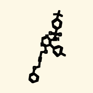 Cc1ccc(-c2c(NS(=O)(=O)c3ccc(C(C)(C)C)cc3)ncnc2OCC#CCOc2ccccc2)cc1